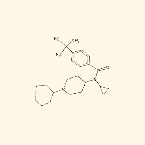 CC(O)(c1ccc(C(=O)N(C2CC2)C2CCN(C3CCCCC3)CC2)cc1)C(F)(F)F